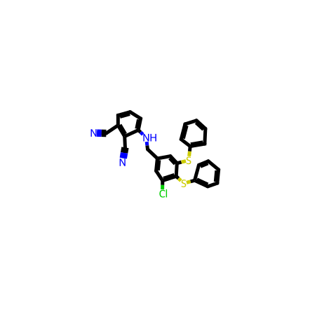 N#Cc1cccc(NCc2cc(Cl)c(Sc3ccccc3)c(Sc3ccccc3)c2)c1C#N